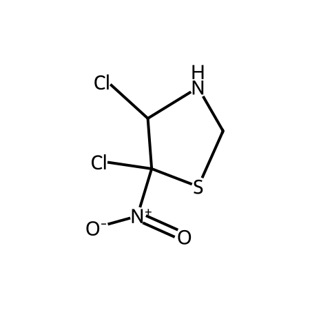 O=[N+]([O-])C1(Cl)SCNC1Cl